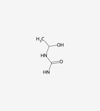 CC(O)NC([NH])=O